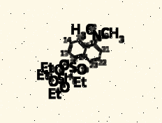 CCO[Si](OCC)(OCC)C(CC)S(=O)(=O)c1cccc2c(N(C)C)cccc12